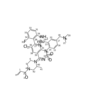 C=CC(=O)N1CCN(C2=NS(=O)(=O)N(c3ccc(CN(C)C)cc3CCCC)c3nc(-c4c(N)cccc4F)c(Cl)cc32)C(C)C1